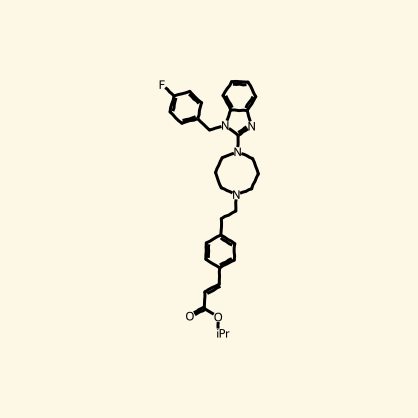 CC(C)OC(=O)C=Cc1ccc(CCN2CCCN(c3nc4ccccc4n3Cc3ccc(F)cc3)CCC2)cc1